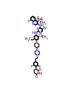 CCc1cc(Nc2ncc(Br)c(Nc3cnc4c(F)cccc4c3P(C)(C)=O)n2)c(OC)cc1N1CCC(N2CCN(CCc3cc(F)c(C4CCC(=O)NC4=O)c(F)c3)CC2)CC1